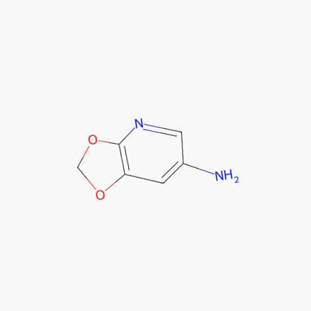 Nc1cnc2c(c1)OCO2